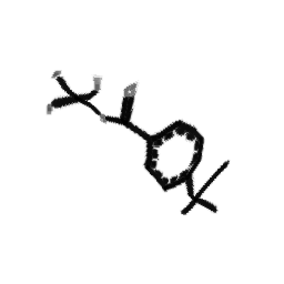 CC(C)(C)c1ccc(C(=O)SC(F)(F)F)cc1